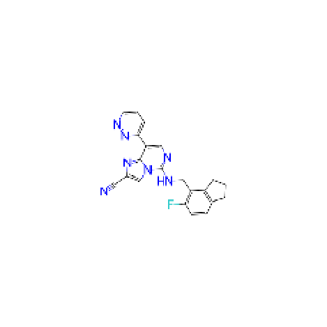 N#Cc1cn2c(NCc3c(F)ccc4c3CCC4)ncc(-c3cccnn3)c2n1